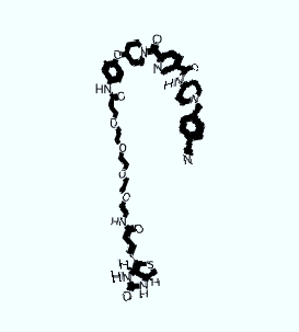 N#Cc1ccc(CN2CCC(NC(=O)c3ccc(C(=O)N4CCC(Oc5ccc(NC(=O)CCOCCOCCOCCOCCNC(=O)CCC[C@@H]6SC[C@@H]7NC(=O)N[C@@H]76)cc5)CC4)nc3)CC2)cc1